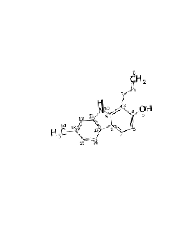 C=CCc1c(O)ccc2c1[nH]c1cc(C)ccc12